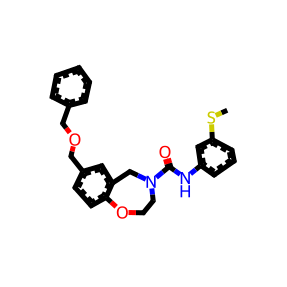 CSc1cccc(NC(=O)N2CCOc3ccc(COCc4ccccc4)cc3C2)c1